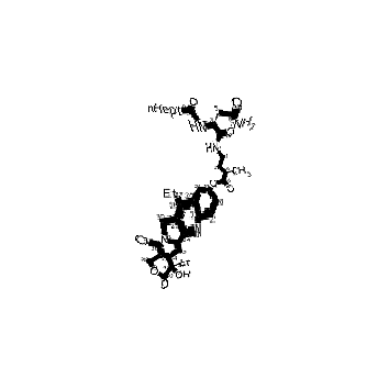 CCCCCCCC(=O)N[C@H](CC(N)=O)C(=O)NCC[C@H](C)C(=O)Oc1ccc2nc3c(c(CC)c2c1)Cn1c-3cc2c(c1=O)COC(=O)[C@]2(O)CC